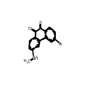 CBc1ccc2c(c1)-c1cc(Br)ccc1C(=O)C2=O